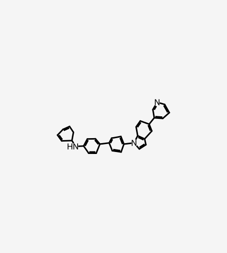 C1=CCC(Nc2ccc(-c3ccc(-n4ccc5cc(-c6cccnc6)ccc54)cc3)cc2)C=C1